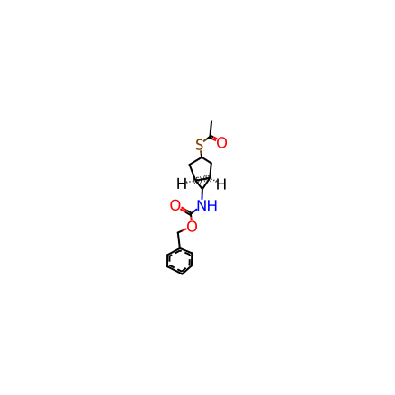 CC(=O)SC1C[C@@H]2C(NC(=O)OCc3ccccc3)[C@@H]2C1